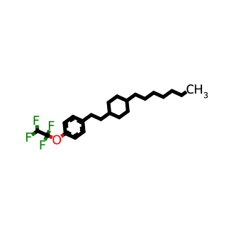 CCCCCCCC1CCC(CCc2ccc(OC(F)(F)C(F)F)cc2)CC1